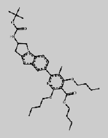 CCCCOC(=O)c1c(OCCCC)nc(-c2ccc3c(c2)cc2n3CC(NC(=O)OC(C)(C)C)C2)c(C)c1OCCCC